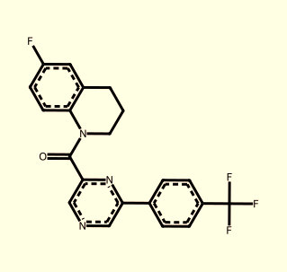 O=C(c1cncc(-c2ccc(C(F)(F)F)cc2)n1)N1CCCc2cc(F)ccc21